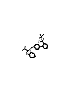 CC(C)c1nc2ccccc2n1Cc1ccc(-c2ccccc2C(=O)OC(C)(C)C)cc1